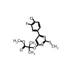 COC(=O)C(C)(C)Oc1cc(-c2ccc(Cl)c(F)c2)nc(SC)n1